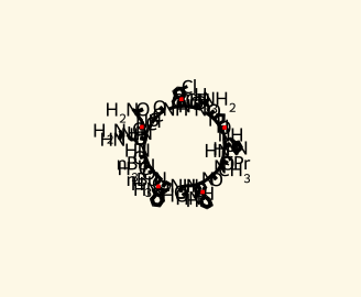 CCCC[C@H]1C(=O)N(C)[C@@H](CCCC)C(=O)N[C@@H](CCCNC(=N)N)C(=O)N[C@H](C(=O)NCC(N)=O)CSCC(=O)N[C@@H](Cc2ccc(Cl)cc2)C(=O)N(C)[C@@H](C)C(=O)N[C@@H](CC(N)=O)C(=O)N2CCC[C@H]2C(=O)N[C@@H](Cc2cnc[nH]2)C(=O)N[C@@H](CC(C)C)C(=O)N(C)CC(=O)N[C@@H](Cc2c[nH]c3ccccc23)C(=O)N[C@@H](CO)C(=O)N[C@@H](Cc2c[nH]c3ccccc23)C(=O)N1C